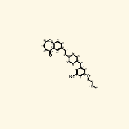 COCCOc1cc(Br)cc(CC2CCN(CCc3ccc4c(c3)C(=O)CCCO4)CC2)c1